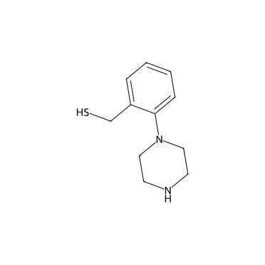 SCc1ccccc1N1CCNCC1